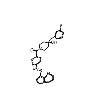 O=C(c1ccc(NSc2cccc3cccnc23)cc1)N1CCC(O)(Cc2cccc(F)c2)CC1